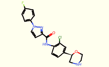 O=C(Nc1ccc([C@@H]2CNCCO2)cc1Cl)c1ccn(-c2ccc(F)cc2)n1